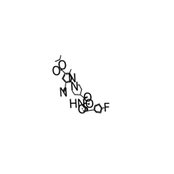 Cc1nc(N2CCC(C(=O)NS(=O)(=O)Cc3ccc(F)cc3)CC2)c(C#N)cc1C(=O)OC(C)C